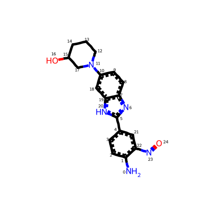 Nc1ccc(-c2nc3ccc(N4CCCC(O)C4)cc3[nH]2)cc1N=O